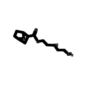 CCCNCCOC(=O)C1CC2CCC1O2